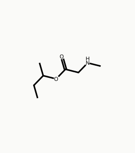 CCC(C)OC(=O)CNC